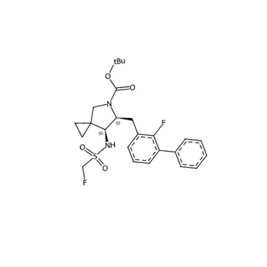 CC(C)(C)OC(=O)N1CC2(CC2)[C@H](NS(=O)(=O)CF)[C@@H]1Cc1cccc(-c2ccccc2)c1F